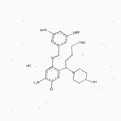 COc1cc(COc2cc(N)c(Cl)cc2C(CCCC=O)N2CCC(O)CC2)cc(OC)c1.Cl